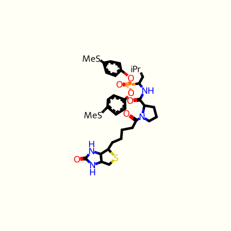 CSc1ccc(OP(=O)(Oc2ccc(SC)cc2)C(CC(C)C)NC(=O)C2CCCN2C(=O)CCCCC2SCC3NC(=O)NC32)cc1